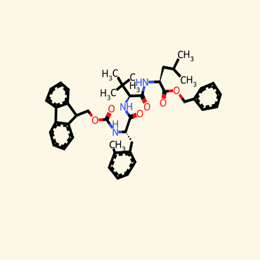 Cc1ccccc1C[C@H](NC(=O)OCC1c2ccccc2-c2ccccc21)C(=O)N[C@H](C(=O)N[C@@H](CC(C)C)C(=O)OCc1ccccc1)C(C)(C)C